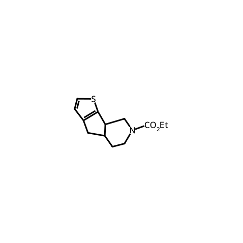 CCOC(=O)N1CCC2Cc3ccsc3C2C1